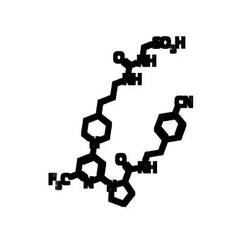 N#Cc1ccc(CCNC(=O)C2CCCN2c2cc(N3CCC(CCCNC(=O)NCS(=O)(=O)O)CC3)cc(C(F)(F)F)n2)cc1